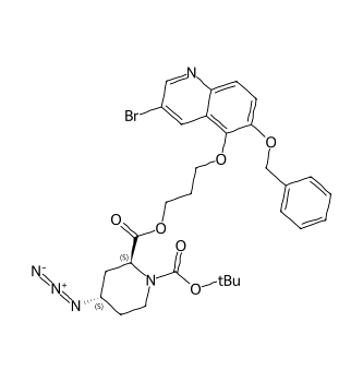 CC(C)(C)OC(=O)N1CC[C@H](N=[N+]=[N-])C[C@H]1C(=O)OCCCOc1c(OCc2ccccc2)ccc2ncc(Br)cc12